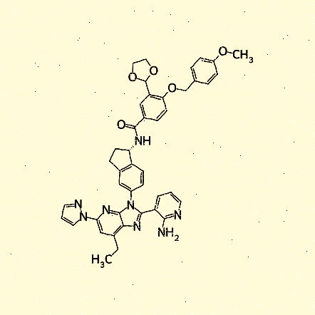 CCc1cc(-n2cccn2)nc2c1nc(-c1cccnc1N)n2-c1ccc2c(c1)CC[C@@H]2NC(=O)c1ccc(OCc2ccc(OC)cc2)c(C2OCCO2)c1